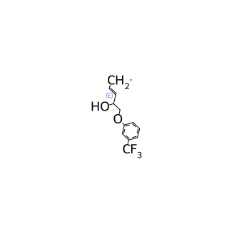 [CH2]/C=C/C(O)COc1cccc(C(F)(F)F)c1